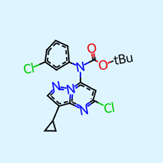 CC(C)(C)OC(=O)N(c1cccc(Cl)c1)c1cc(Cl)nc2c(C3CC3)cnn12